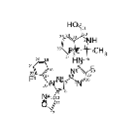 CC(CNc1nc(-c2cc(-c3ccon3)n(Cc3ccccc3F)n2)ncc1F)(NC(CO)c1ccccc1)C(F)(F)F